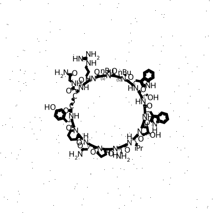 CCCC[C@H]1C(=O)N(C)[C@@H](CCCC)C(=O)N[C@@H](CCCNC(=N)N)C(=O)N[C@H](C(=O)NCC(N)=O)CSCC(=O)N[C@@H](Cc2ccc(O)cc2)C(=O)N2CCCC[C@H]2C(=O)N[C@@H](CC(N)=O)C(=O)N2CCC[C@H]2C(=O)N[C@@H](CN)C(=O)N[C@@H](CC(C)C)C(=O)N2C[C@H](O)C[C@H]2C(=O)N[C@@H](Cc2c[nH]c3ccccc23)C(=O)N[C@@H](CO)C(=O)N[C@@H](Cc2c[nH]c3ccccc23)C(=O)N1C